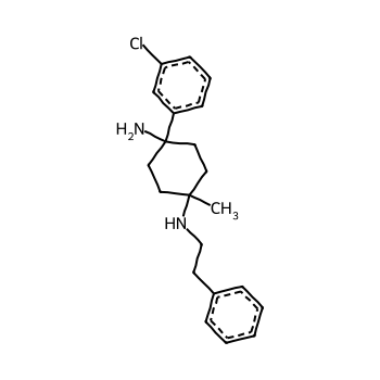 CC1(NCCc2ccccc2)CCC(N)(c2cccc(Cl)c2)CC1